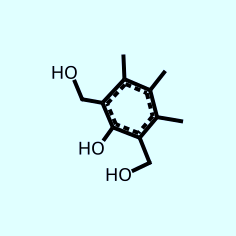 Cc1c(C)c(CO)c(O)c(CO)c1C